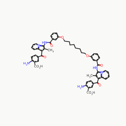 Cc1c(C(=O)c2ccc(N)c(C(=O)O)c2)c2ccccn2c1NC(=O)c1cccc(OCCCCCCCCOc2cccc(C(=O)Nc3c(C)c(C(=O)c4ccc(N)c(C(=O)O)c4)c4ccccn34)c2)c1